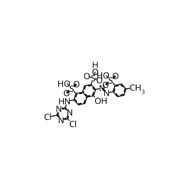 Cc1ccc(N=Nc2c(S(=O)(=O)O)cc3c(S(=O)(=O)O)c(Nc4nc(Cl)nc(Cl)n4)ccc3c2O)c(S(=O)(=O)O)c1